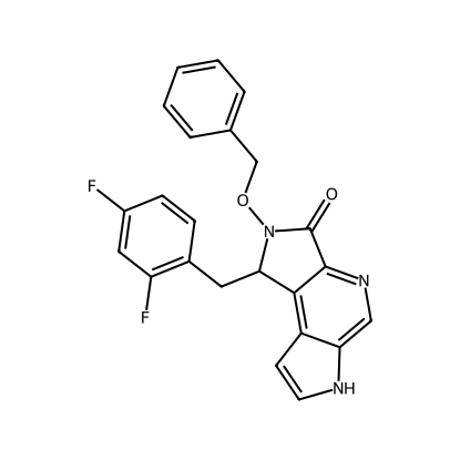 O=C1c2ncc3[nH]ccc3c2C(Cc2ccc(F)cc2F)N1OCc1ccccc1